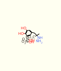 C[C@@](Cc1ccc(O)c(O)c1)(NN)C(=O)O.O=[N+]([O-])O.O=[N+]([O-])O